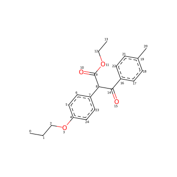 CCCOc1ccc(C(C(=O)OCC)C(=O)c2ccc(C)cc2)cc1